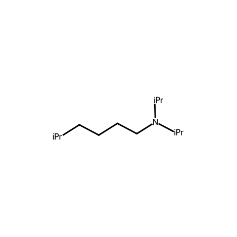 CC(C)CCCCN(C(C)C)C(C)C